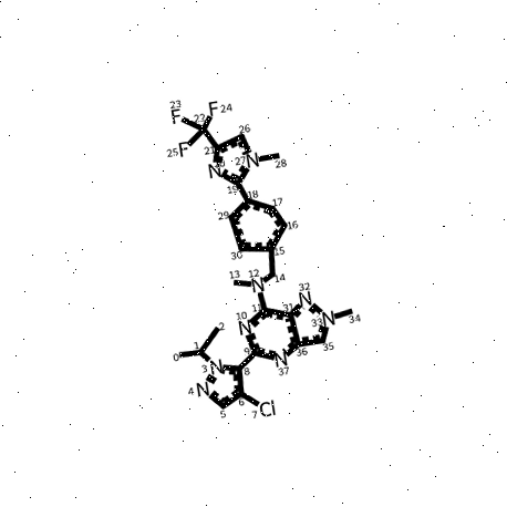 CC(C)n1ncc(Cl)c1-c1nc(N(C)Cc2ccc(-c3nc(C(F)(F)F)cn3C)cc2)c2nn(C)cc2n1